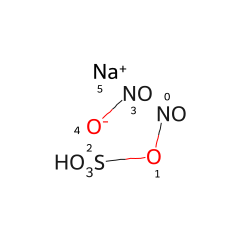 O=NOS(=O)(=O)O.O=N[O-].[Na+]